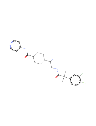 CC(C)(C(=O)NCC(N)C1CCC(C(=O)Nc2ccncc2)CC1)c1ccc(F)c(Cl)c1